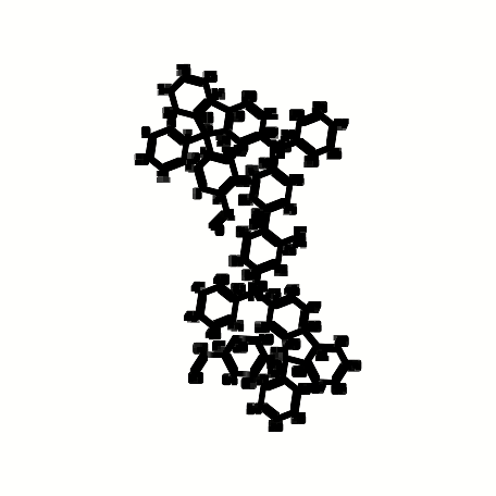 C=Cc1ccc(C2(c3ccccc3)C3=C(C=CCC3)c3ccc(N(c4ccccc4)c4ccc(-c5ccc(N(c6ccccc6)c6ccc7c(c6)C(c6ccccc6)(c6ccc(C=C)cc6)c6ccccc6-7)cc5F)cc4)cc32)cc1